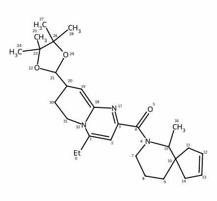 CCC1=CC(C(=O)N2CCCC3(CC=CC3)C2C)=NC2=CC(C3OC(C)(C)C(C)(C)O3)CCN12